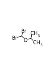 CC(C)OC(Br)Br